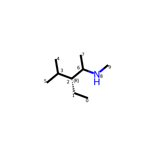 CC[C@H](C(C)C)C(C)NC